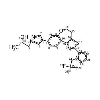 C[C@H](O)Cn1cc(-c2ccc3c(c2)OCCc2sc(-c4ncnn4CC(F)(F)F)nc2-3)cn1